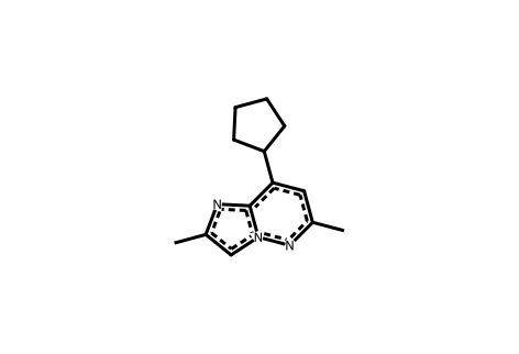 Cc1cn2nc(C)cc(C3CCCC3)c2n1